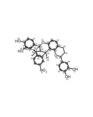 C[C@@H](C(=O)O)[C@@H]1[C@H]2c3cc([N+](=O)[O-])ccc3O[C@]1(c1ccc(O)c(O)c1)Oc1ccc3c(c12)OC(c1ccc(O)c(O)c1)CC3